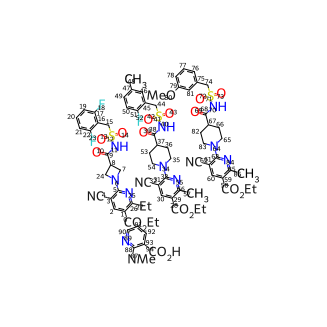 CCOC(=O)c1cc(C#N)c(N2CC(C(=O)NS(=O)(=O)Cc3c(F)cccc3F)C2)nc1CC.CCOC(=O)c1cc(C#N)c(N2CCC(C(=O)NS(=O)(=O)Cc3cc(C)ccc3F)CC2)nc1C.CCOC(=O)c1cc(C#N)c(N2CCC(C(=O)NS(=O)(=O)Cc3cccc(OC)c3)CC2)nc1C.CNc1ncccc1C(=O)O